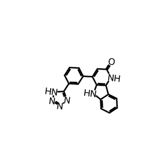 O=c1cc(-c2cccc(-c3nnn[nH]3)c2)c2[nH]c3ccccc3c2[nH]1